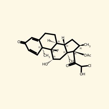 CC(=O)O[C@]1(C(=O)C(O)Cl)[C@H](C)C[C@H]2[C@@H]3CCC4=CC(=O)C=C[C@]4(C)[C@@]3(F)[C@@H](O)C[C@@]21C